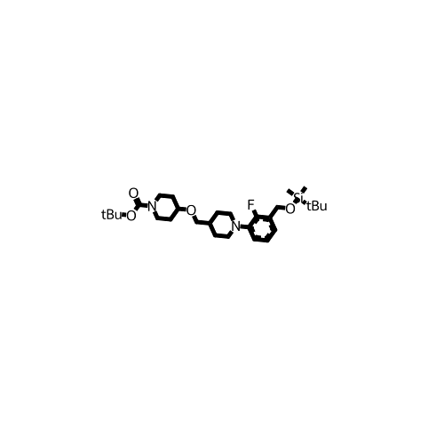 CC(C)(C)OC(=O)N1CCC(OCC2CCN(c3cccc(CO[Si](C)(C)C(C)(C)C)c3F)CC2)CC1